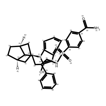 Cc1nc2ccccc2n1[C@H]1C[C@H]2CC[C@@H](C1)C2CCC(CNS(=O)(=O)c1ccc(C(N)=O)cc1)c1ccccc1